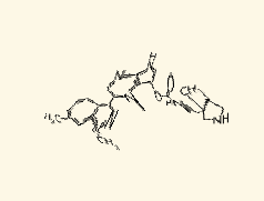 Cc1ccc2c(-c3cnc4[nH]cc(OC(=O)NC5(C)CCNC5)c4n3)nn(C)c2c1